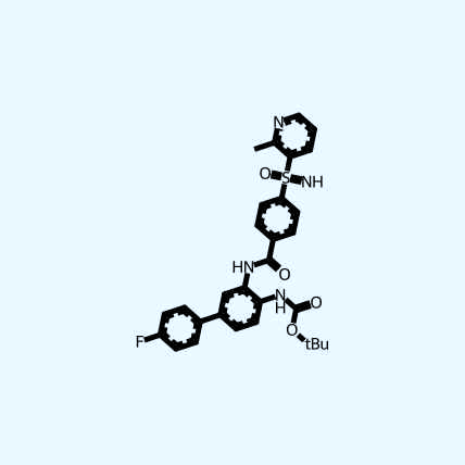 Cc1ncccc1S(=N)(=O)c1ccc(C(=O)Nc2cc(-c3ccc(F)cc3)ccc2NC(=O)OC(C)(C)C)cc1